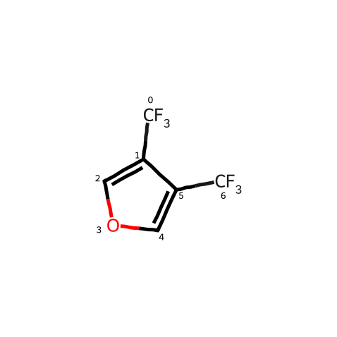 FC(F)(F)c1cocc1C(F)(F)F